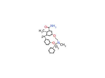 Cc1c(C(N)=O)cc(OCCN(C)C)cc1C1(c2cccc(OCc3ccccc3)c2)CC1